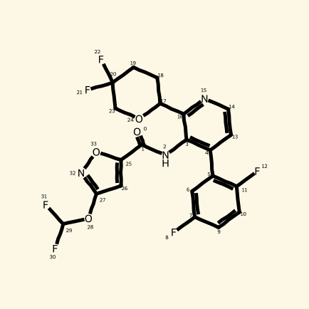 O=C(Nc1c(-c2cc(F)ccc2F)ccnc1C1CCC(F)(F)CO1)c1cc(OC(F)F)no1